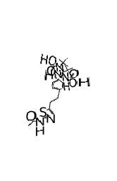 CC(=O)Nc1ncc(CCc2ccc(NC(NC(=O)O)(N(C(=O)O)C(C)(C)C)C(C)(C)C)cc2)s1